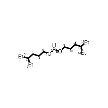 CCC(CC)CCCOPOCCCC(CC)CC